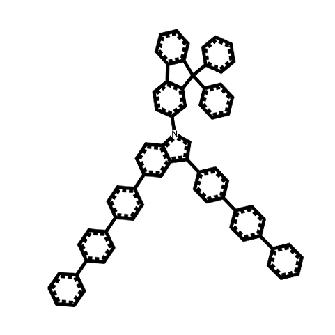 c1ccc(-c2ccc(-c3ccc(-c4ccc5c(c4)c(-c4ccc(-c6ccc(-c7ccccc7)cc6)cc4)cn5-c4ccc5c(c4)C(c4ccccc4)(c4ccccc4)c4ccccc4-5)cc3)cc2)cc1